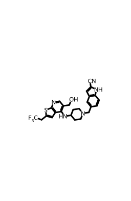 N#Cc1cc2cc(CN3CCC(Nc4c(CO)cnc5sc(CC(F)(F)F)cc45)CC3)ccc2[nH]1